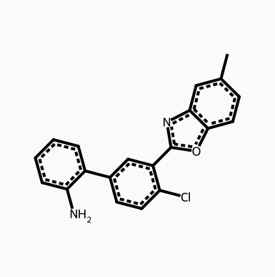 Cc1ccc2oc(-c3cc(-c4ccccc4N)ccc3Cl)nc2c1